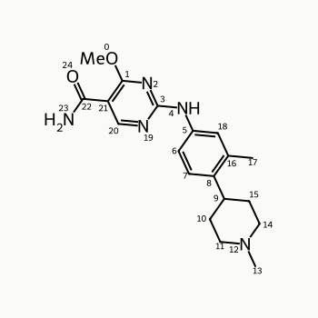 COc1nc(Nc2ccc(C3CCN(C)CC3)c(C)c2)ncc1C(N)=O